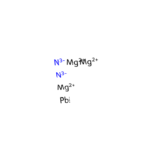 [Mg+2].[Mg+2].[Mg+2].[N-3].[N-3].[Pb]